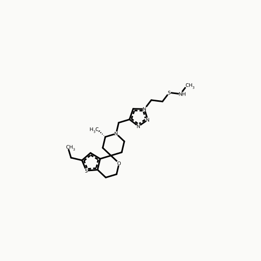 CCc1cc2c(s1)CCOC21CCN(Cc2cn(CCSNC)nn2)[C@@H](C)C1